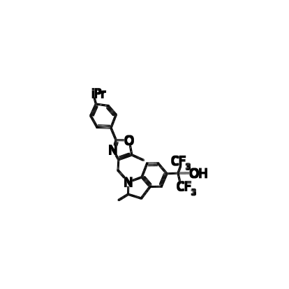 Cc1oc(-c2ccc(C(C)C)cc2)nc1CN1c2ccc(C(O)(C(F)(F)F)C(F)(F)F)cc2CC1C